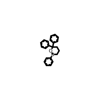 c1ccc(B2CCCC(c3ccccc3)(c3ccccc3)O2)cc1